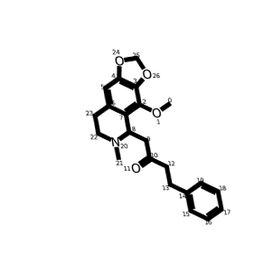 COc1c2c(cc3c1C(CC(=O)CCc1ccccc1)N(C)CC3)OCO2